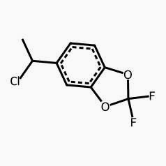 CC(Cl)c1ccc2c(c1)OC(F)(F)O2